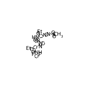 CCOc1cc(N2CCN(CCS(C)(=O)=O)CC2)ccc1Nc1nccc(-c2c(-c3ccc(OCC)c(C(=O)Nc4c(F)cccc4F)c3)nc3ccccn23)n1